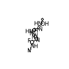 CN(C)CCNc1cc(F)cc(-c2cncc3[nH]c(-c4n[nH]c5ccc(-c6cncc(NC(O)C7CCC7)c6)cc45)nc23)c1